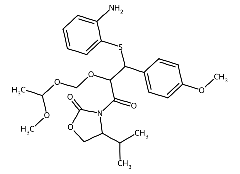 COc1ccc(C(Sc2ccccc2N)C(OCOC(C)OC)C(=O)N2C(=O)OCC2C(C)C)cc1